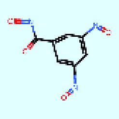 O=NC(=O)c1cc(N=O)cc(N=O)c1